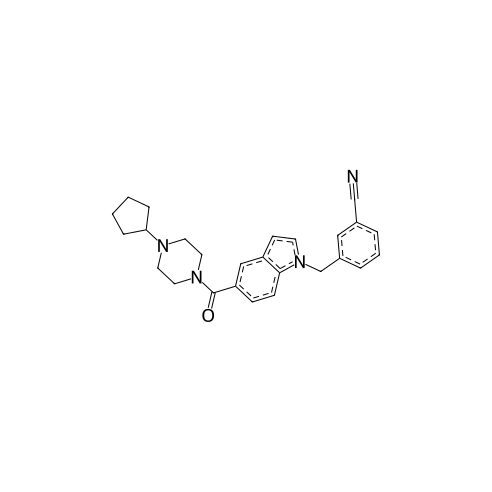 N#Cc1cccc(Cn2ccc3cc(C(=O)N4CCN(C5CCCC5)CC4)ccc32)c1